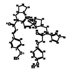 CCOc1ccc(/C=C/C(=O)N(CC2CCCS2)C(/C=C\C2(C)CCC(CN(C(=O)COc3ccc(OCC)cc3)C3=NC(C)C=C3)S2)=N/N)cc1